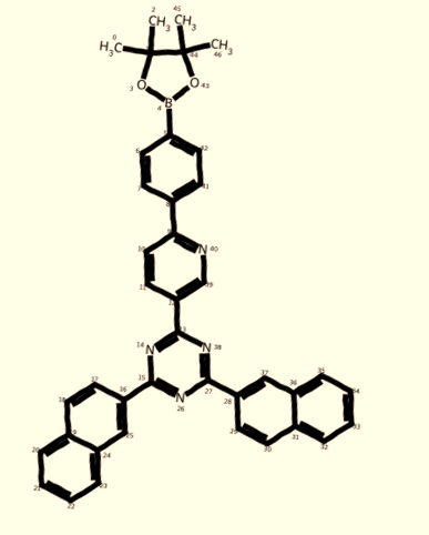 CC1(C)OB(c2ccc(-c3ccc(-c4nc(-c5ccc6ccccc6c5)nc(-c5ccc6ccccc6c5)n4)cn3)cc2)OC1(C)C